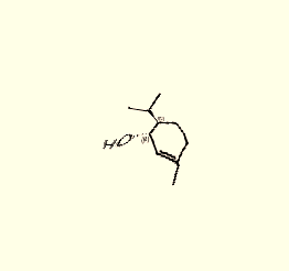 CC1=C[C@H](O)[C@@H](C(C)C)CC1